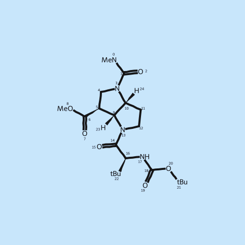 CNC(=O)N1C[C@H](C(=O)OC)[C@@H]2[C@H]1CCN2C(=O)[C@@H](NC(=O)OC(C)(C)C)C(C)(C)C